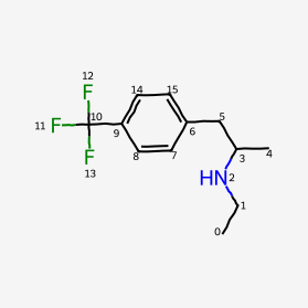 CCNC(C)Cc1ccc(C(F)(F)F)cc1